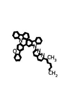 C=C/C=C\C=C(/C)c1ccc2ccc(-n3c4ccccc4c4ccc(-c5cc6c(cc5-n5c7ccccc7c7ccccc75)oc5ccccc56)cc43)nc2n1